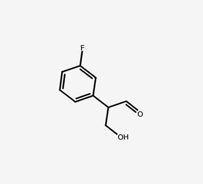 O=CC(CO)c1cccc(F)c1